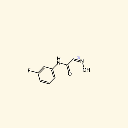 O=C(/C=N\O)Nc1cccc(F)c1